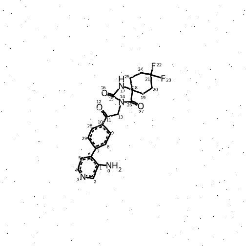 Nc1cnccc1-c1ccc(C(=O)CN2C(=O)NC3(CCC(F)(F)CC3)C2=O)cc1